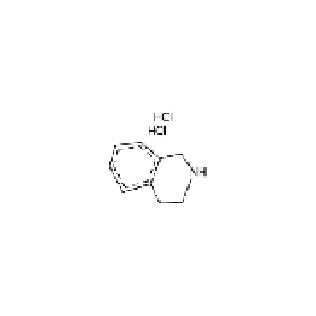 Cl.Cl.c1ccc2c(c1)CCNC2